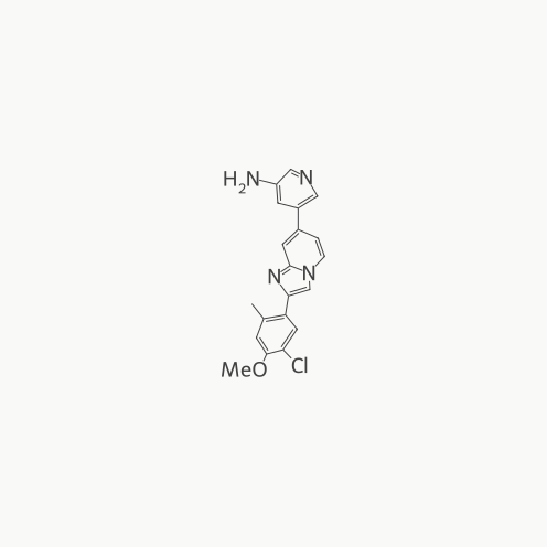 COc1cc(C)c(-c2cn3ccc(-c4cncc(N)c4)cc3n2)cc1Cl